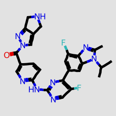 Cc1nc2c(F)cc(-c3nc(Nc4ccc(C(=O)n5cc6c(n5)CNC6)cn4)ncc3F)cc2n1C(C)C